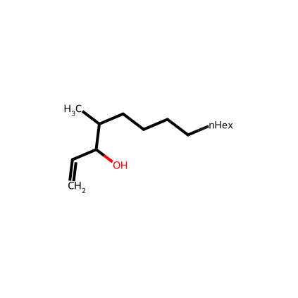 C=CC(O)C(C)CCCCCCCCCC